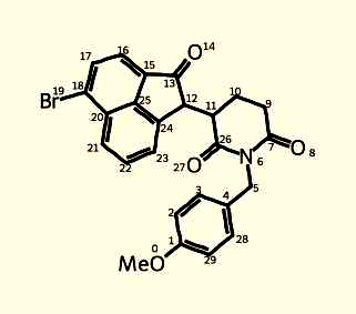 COc1ccc(CN2C(=O)CCC(C3C(=O)c4ccc(Br)c5cccc3c45)C2=O)cc1